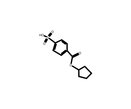 O=C(OC1CCCC1)c1ccc(S(=O)(=O)O)cc1